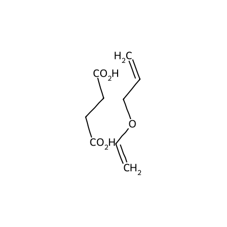 C=CCOC=C.O=C(O)CCC(=O)O